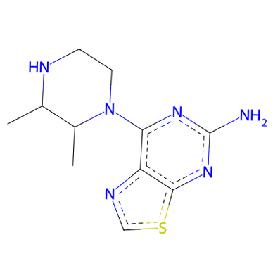 CC1NCCN(c2nc(N)nc3scnc23)C1C